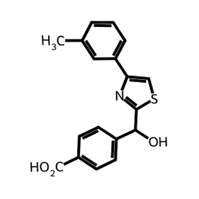 Cc1cccc(-c2csc(C(O)c3ccc(C(=O)O)cc3)n2)c1